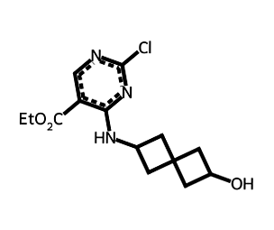 CCOC(=O)c1cnc(Cl)nc1NC1CC2(CC(O)C2)C1